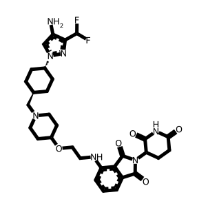 Nc1cn([C@H]2CC[C@H](CN3CCC(OCCNc4cccc5c4C(=O)N(C4CCC(=O)NC4=O)C5=O)CC3)CC2)nc1C(F)F